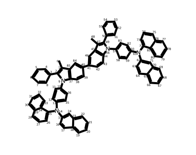 Cc1c(-c2ccccc2)n(-c2ccc(N(c3ccc4ccccc4c3)c3cccc4ccccc34)cc2)c2ccc(-c3ccc4c(c3)c(C)c(-c3ccccc3)n4-c3ccc(N(c4ccc5ccccc5c4)c4cccc5ccccc45)cc3)cc12